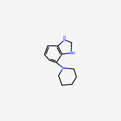 [CH]1Nc2cccc(N3CCCCC3)c2N1